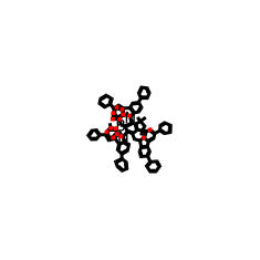 Cc1cccc(C)c1B(c1c(C)cccc1C)c1c(-n2c3ccc(-c4ccccc4)cc3c3cc(-c4ccccc4)ccc32)c(CC2c3ccc(-c4ccccc4)cc3-c3cc(-c4ccccc4)ccc32)c2c(c1-n1c3ccc(-c4ccccc4)cc3c3cc(-c4ccccc4)ccc31)C(C)(C)CC2(C)C